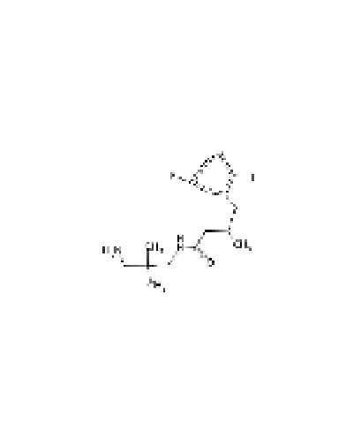 CC(CC(=O)NCC(C)(C)CN)Cc1cc(F)ccc1F